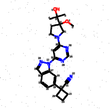 COC1(C(C)(C)O)CCN(c2cc(-n3ncc4ccc(C5(C#N)CCC5)cc43)ncn2)C1